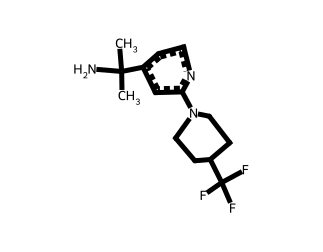 CC(C)(N)c1ccnc(N2CCC(C(F)(F)F)CC2)c1